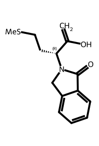 C=C(O)[C@@H](CCSC)N1Cc2ccccc2C1=O